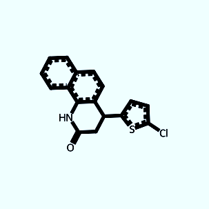 O=C1CC(c2ccc(Cl)s2)c2ccc3ccccc3c2N1